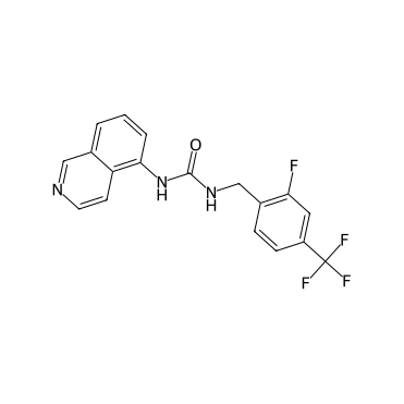 O=C(NCc1ccc(C(F)(F)F)cc1F)Nc1cccc2cnccc12